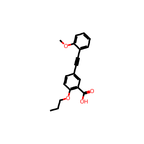 CCCOc1ccc(C#Cc2ccccc2OC)cc1C(=O)O